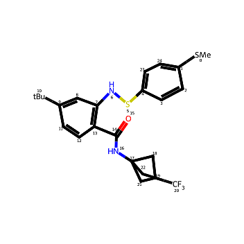 CSc1ccc(SNc2cc(C(C)(C)C)ccc2C(=O)NC23CC(C(F)(F)F)(C2)C3)cc1